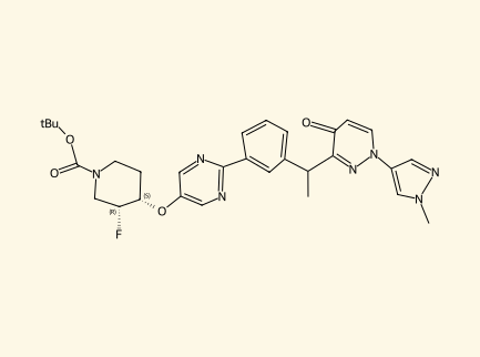 CC(c1cccc(-c2ncc(O[C@H]3CCN(C(=O)OC(C)(C)C)C[C@H]3F)cn2)c1)c1nn(-c2cnn(C)c2)ccc1=O